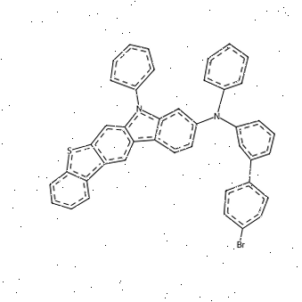 Brc1ccc(-c2cccc(N(c3ccccc3)c3ccc4c5cc6c(cc5n(-c5ccccc5)c4c3)sc3ccccc36)c2)cc1